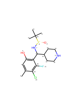 Cc1cc(O)c(C(N[S@@+]([O-])C(C)(C)C)C2CCNCC2)c(F)c1Cl